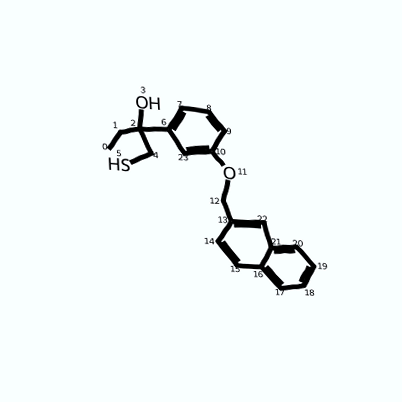 CCC(O)(CS)c1cccc(OCc2ccc3ccccc3c2)c1